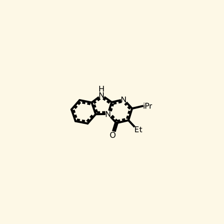 CCc1c(C(C)C)nc2[nH]c3ccccc3n2c1=O